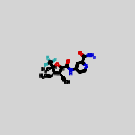 C#C[C@H]1[C@H](C(=O)Nc2ccnc(C(N)=O)c2)O[C@@](C)(C(F)(F)F)[C@H]1C=C